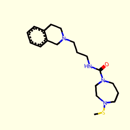 CSN1CCCN(C(=O)NCCCN2CCc3ccccc3C2)CC1